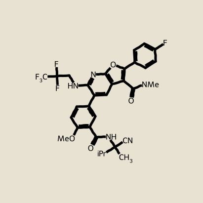 CNC(=O)c1c(-c2ccc(F)cc2)oc2nc(NCC(F)(F)C(F)(F)F)c(-c3ccc(OC)c(C(=O)NC(C)(C#N)C(C)C)c3)cc12